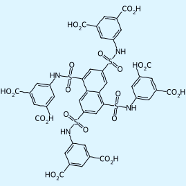 O=C(O)c1cc(NS(=O)(=O)c2cc(S(=O)(=O)Nc3cc(C(=O)O)cc(C(=O)O)c3)c3cc(S(=O)(=O)Nc4cc(C(=O)O)cc(C(=O)O)c4)cc(S(=O)(=O)Nc4cc(C(=O)O)cc(C(=O)O)c4)c3c2)cc(C(=O)O)c1